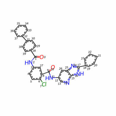 O=C(Nc1ccc(Cl)c(C(=O)Nc2cnc3[nH]c(-c4ccccc4)nc3c2)c1)c1ccc(-c2ccccc2)cc1